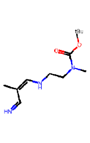 C/C(C=N)=C/NCCN(C)C(=O)OC(C)(C)C